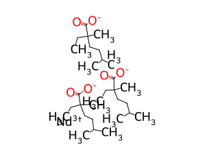 CCC(C)(CCC(C)C)C(=O)[O-].CCC(C)(CCC(C)C)C(=O)[O-].CCC(C)(CCC(C)C)C(=O)[O-].[Nd+3]